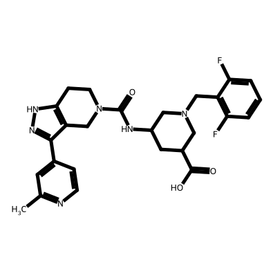 Cc1cc(-c2n[nH]c3c2CN(C(=O)NC2CC(C(=O)O)CN(Cc4c(F)cccc4F)C2)CC3)ccn1